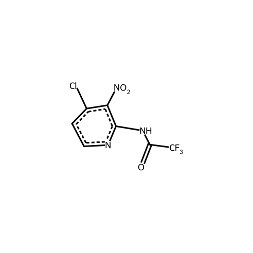 O=C(Nc1nccc(Cl)c1[N+](=O)[O-])C(F)(F)F